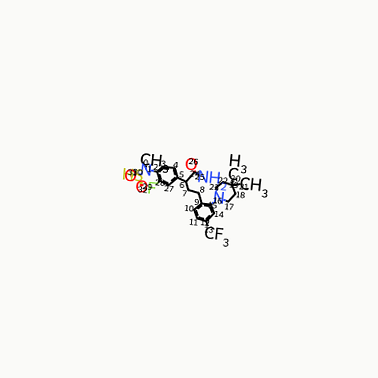 CN(c1ccc(C(CCc2ccc(C(F)(F)F)cc2N2CCC(C)(C)CC2)C(N)=O)cc1F)[SH](=O)=O